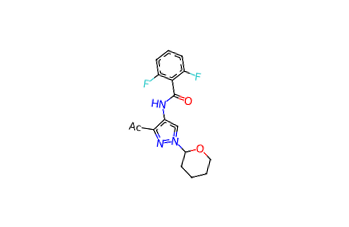 CC(=O)c1nn(C2CCCCO2)cc1NC(=O)c1c(F)cccc1F